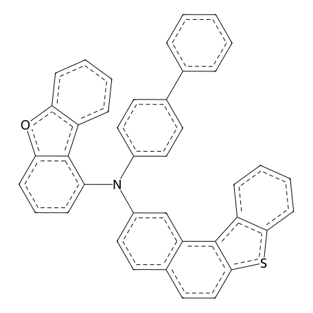 c1ccc(-c2ccc(N(c3ccc4ccc5sc6ccccc6c5c4c3)c3cccc4oc5ccccc5c34)cc2)cc1